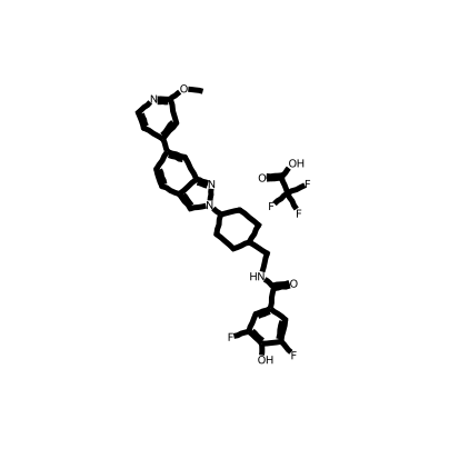 COc1cc(-c2ccc3cn(C4CCC(CNC(=O)c5cc(F)c(O)c(F)c5)CC4)nc3c2)ccn1.O=C(O)C(F)(F)F